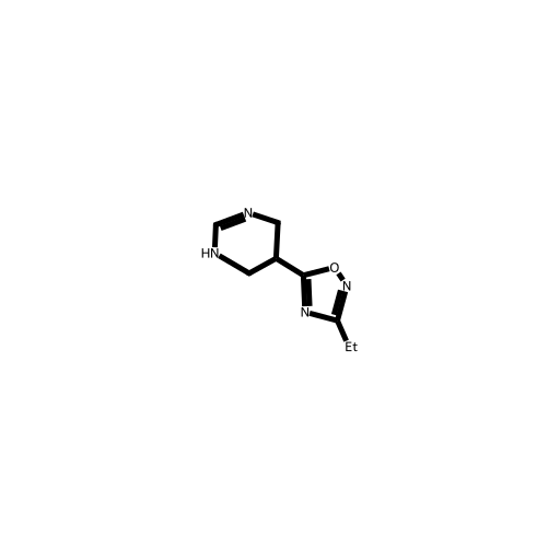 CCc1noc(C2CN=CNC2)n1